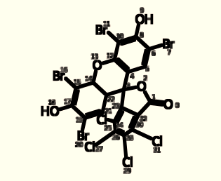 O=C1OC2(c3cc(Br)c(O)c(Br)c3OC3C(Br)=C(O)C(Br)=CC32)c2c(Cl)c(Cl)c(Cl)c(Cl)c21